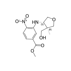 COC(=O)c1ccc([N+](=O)[O-])c(N[C@@H]2COC[C@@]2(C)CO)c1